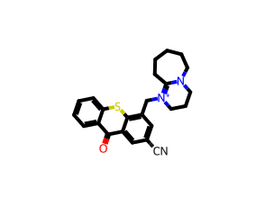 N#Cc1cc(C[N+]2=C3CCCCCN3CCC2)c2sc3ccccc3c(=O)c2c1